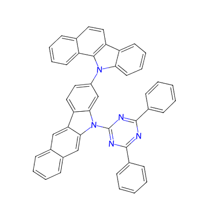 c1ccc(-c2nc(-c3ccccc3)nc(-n3c4cc(-n5c6ccccc6c6ccc7ccccc7c65)ccc4c4cc5ccccc5cc43)n2)cc1